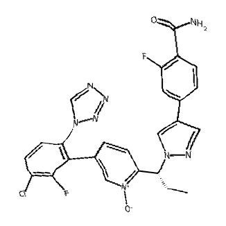 CC[C@H](c1ccc(-c2c(-n3cnnn3)ccc(Cl)c2F)c[n+]1[O-])n1cc(-c2ccc(C(N)=O)c(F)c2)cn1